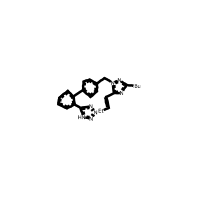 CC/C=C/c1nc(C(C)CC)nn1Cc1ccc(-c2ccccc2-c2nnn[nH]2)cc1